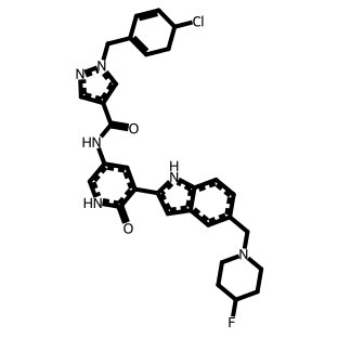 O=C(Nc1c[nH]c(=O)c(-c2cc3cc(CN4CCC(F)CC4)ccc3[nH]2)c1)c1cnn(CC2=CCC(Cl)C=C2)c1